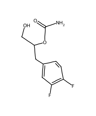 NC(=O)OC(CO)Cc1ccc(F)c(F)c1